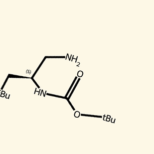 CCC(C)C[C@@H](CN)NC(=O)OC(C)(C)C